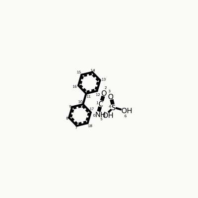 N=C=O.O=S(O)O.c1ccc(-c2ccccc2)cc1